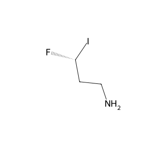 NCC[C@H](F)I